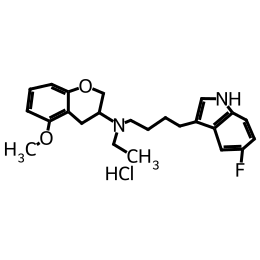 CCN(CCCCc1c[nH]c2ccc(F)cc12)C1COc2cccc(OC)c2C1.Cl